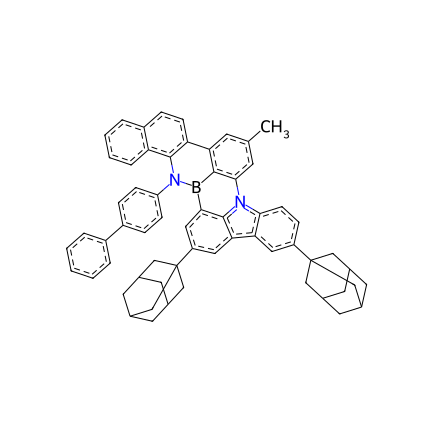 Cc1cc2c3c(c1)-n1c4ccc(C56CC7CC(CC(C7)C5)C6)cc4c4cc(C56CC7CC(CC(C7)C5)C6)cc(c41)B3N(c1ccc(-c3ccccc3)cc1)c1c-2ccc2ccccc12